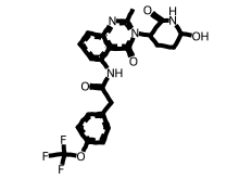 Cc1nc2cccc(NC(=O)Cc3ccc(OC(F)(F)F)cc3)c2c(=O)n1C1CCC(O)NC1=O